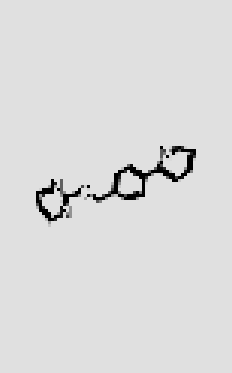 [c]1ccnc(OCc2ccc(-c3ccccn3)cc2)n1